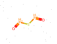 O=[PH2]S[PH2]=O